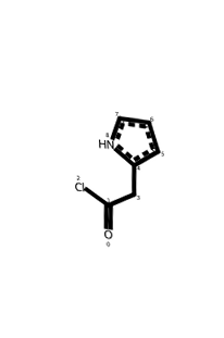 O=C(Cl)Cc1ccc[nH]1